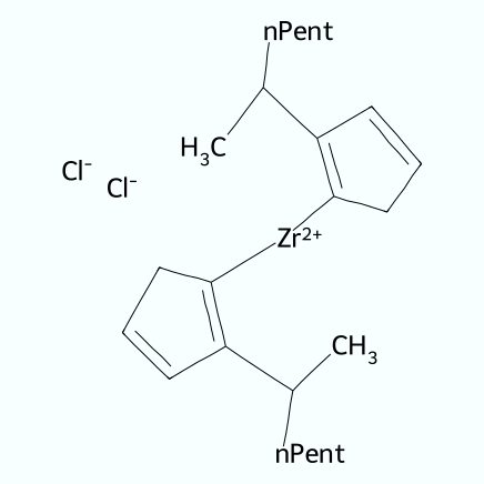 CCCCCC(C)C1=[C]([Zr+2][C]2=C(C(C)CCCCC)C=CC2)CC=C1.[Cl-].[Cl-]